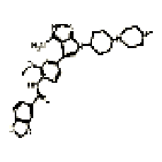 COc1cc(-c2cn(C3CCC(N4CCN(C)CC4)CC3)c3ncnc(N)c23)ccc1NC(=O)c1ccc2c(c1)OCO2